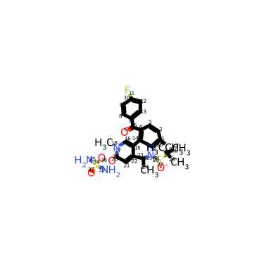 Cc1ccc(C(=O)c2ccc(F)cc2)c(-c2cn(C)c(=O)cc2C(C)N[S@@+]([O-])C(C)(C)C)c1.NS(N)(=O)=O